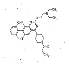 C=CC(=O)N1CCN(c2nc(OCCN(CC)CC)nc3c(F)c(-c4c(O)cccc4F)c(Cl)cc23)CC1